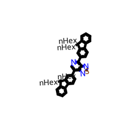 CCCCCCC1(CCCCCC)c2ccccc2-c2ccc(-c3cnc(-c4ccc5c(c4)C(CCCCCC)(CCCCCC)c4ccccc4-5)c4nsnc34)cc21